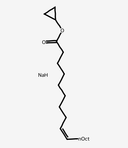 CCCCCCCC/C=C\CCCCCCCC(=O)OC1CC1.[NaH]